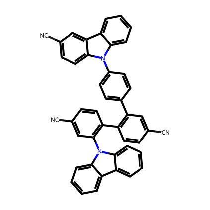 N#Cc1ccc(-c2ccc(C#N)cc2-n2c3ccccc3c3ccccc32)c(-c2ccc(-n3c4ccccc4c4cc(C#N)ccc43)cc2)c1